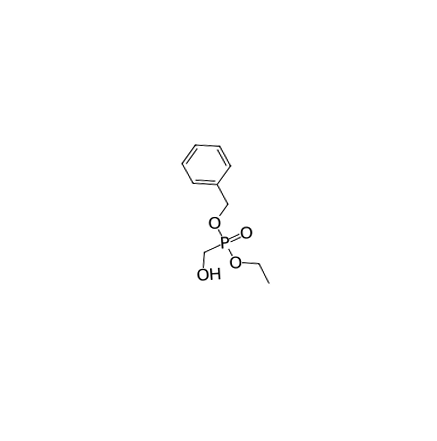 CCOP(=O)(CO)OCc1ccccc1